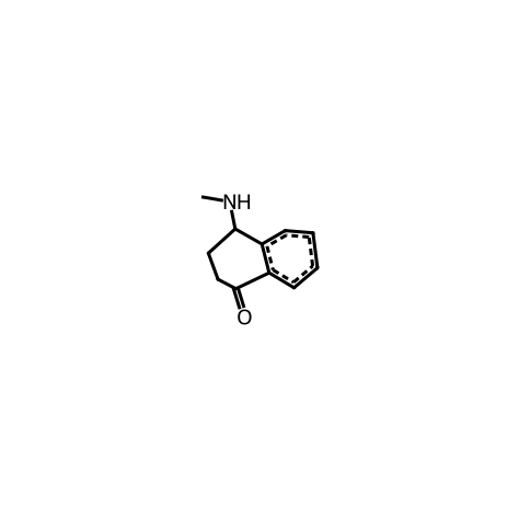 CNC1CCC(=O)c2ccccc21